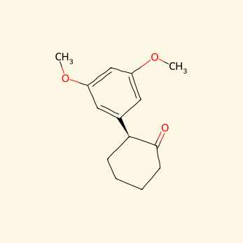 COc1cc(OC)cc([C@@H]2CCCCC2=O)c1